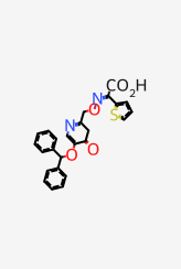 O=C(O)C(=NOCC1=NC=C(OC(c2ccccc2)c2ccccc2)C(=O)C1)c1cccs1